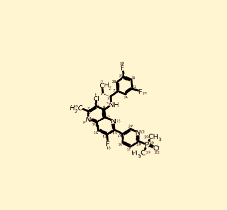 CC[C@@H](Nc1c(Cl)c(C)nc2cc(F)c(-c3ccc(P(C)(C)=O)nc3)nc12)c1cc(F)cc(F)c1